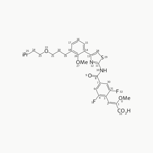 CO/C(=C\c1c(F)cc(C(=O)Nc2nc(-c3cccc(CCCOCCC(C)C)c3OC)cs2)cc1F)C(=O)O